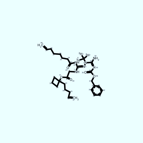 [2H]C([2H])([2H])N(N=C(NCC(=O)OC1(CCCC=C)CCC1)NC(=O)CCCCCC=C)C(N)=NC(=O)OCc1ccccc1